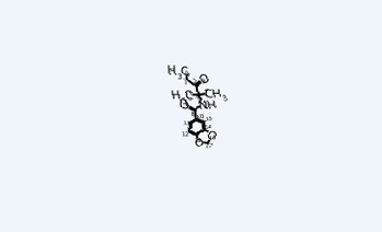 CCC(=O)C(C)(C)NC(=O)c1ccc2c(c1)OCO2